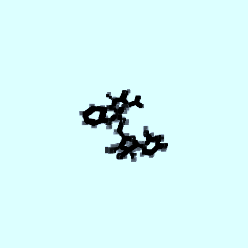 CC(C)OC(=O)[C@@H](C)N[P@@](=S)(OC[C@H]1O[C@@H](n2ccc(=O)[nH]c2=O)[C@@](F)(Cl)[C@@H]1O)Oc1ccccc1